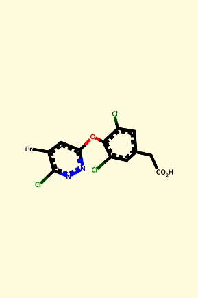 CC(C)c1cc(Oc2c(Cl)cc(CC(=O)O)cc2Cl)nnc1Cl